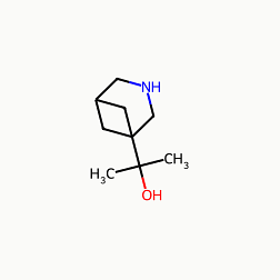 CC(C)(O)C12CNCC(C1)C2